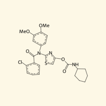 COc1ccc(N(C(=O)c2ccccc2Cl)c2nc(OC(=O)NC3CCCCC3)cs2)cc1OC